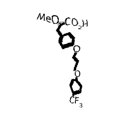 CO[C@@H](Cc1ccc(OCCCOc2ccc(C(F)(F)F)cc2)cc1)C(=O)O